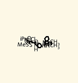 CSc1sc(C(=O)NC2CCC(Nc3nc4c(c(N(C)C)n3)CCCC4)CC2)c(Cl)c1S(=O)(=O)C(C)C